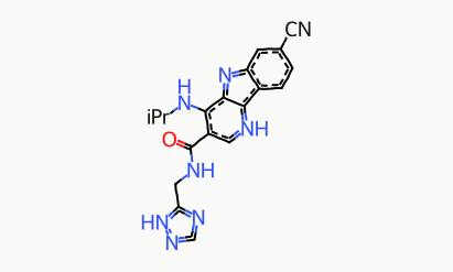 CC(C)Nc1c(C(=O)NCc2ncn[nH]2)c[nH]c2c3ccc(C#N)cc3nc1-2